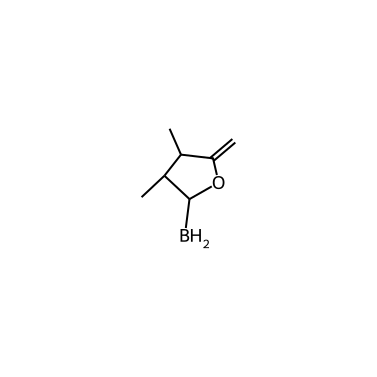 BC1OC(=C)C(C)C1C